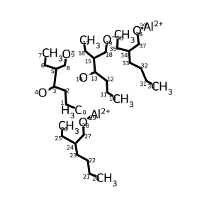 CCCC([O-])C(CC)C[O-].CCCC([O-])C(CC)C[O-].CCCCC(CC)C[O][Al+2].CCCCC(CC)C[O][Al+2]